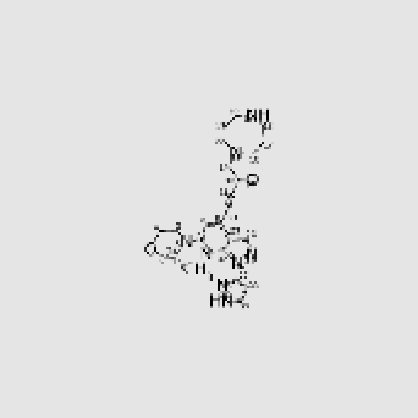 C[C@@H]1COCCN1c1cc(C#CC(=O)CN2CCCNCCC2)c2cnn(-c3cc[nH]n3)c2n1